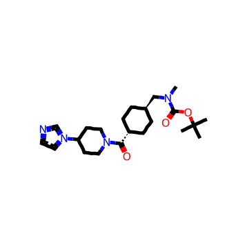 CN(C[C@H]1CC[C@H](C(=O)N2CCC(n3ccnc3)CC2)CC1)C(=O)OC(C)(C)C